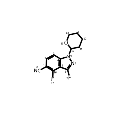 N#Cc1ccc2c(c(F)nn2C2CCCCO2)c1F